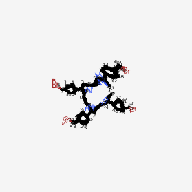 BrCc1ccc(C2=Cc3nc2ccc2[nH]c(cc2-c2ccc(CBr)cc2)c2nc(ccc4[nH]c3cc4-c3ccc(CBr)cc3)C(c3ccc(CBr)cc3)=C2)cc1